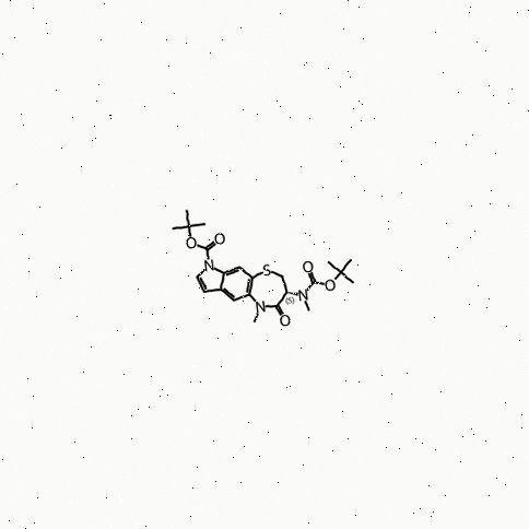 CN1C(=O)[C@H](N(C)C(=O)OC(C)(C)C)CSc2cc3c(ccn3C(=O)OC(C)(C)C)cc21